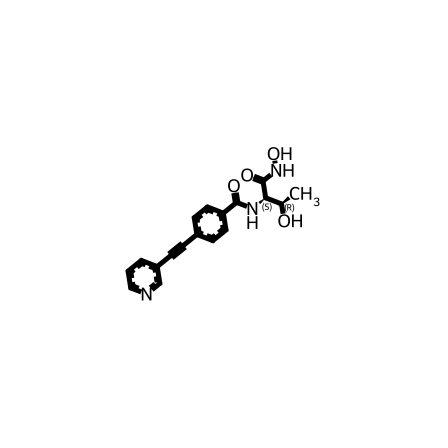 C[C@@H](O)[C@H](NC(=O)c1ccc(C#Cc2cccnc2)cc1)C(=O)NO